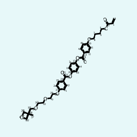 C=CC(=O)OCCCCOc1ccc(C(=O)Oc2ccc(OC(=O)c3ccc(OCCOCCOCC4(C)COC4)cc3)cc2)cc1